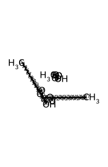 CCCCCCCCCCCCCCCCCC(=O)OCCN(CCO)CCOC(=O)CCCCCCCCCCCCCCCCC.COS(=O)(=O)O